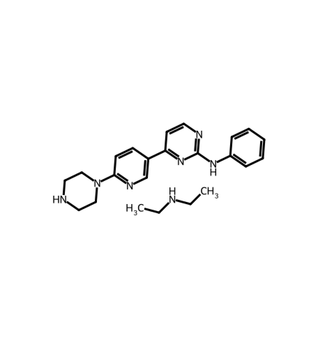 CCNCC.c1ccc(Nc2nccc(-c3ccc(N4CCNCC4)nc3)n2)cc1